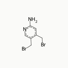 Nc1cc(CBr)c(CBr)cn1